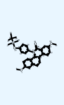 COc1ccc2c(ccc3c4ccc(OC)cc4c(=O)n(-c4ccc(O[Si](C)(C)C(C)(C)C)cc4)c23)c1